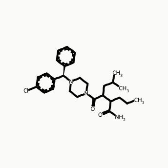 CCCC(C(N)=O)C(CC(C)C)C(=O)N1CCN([C@H](c2ccccc2)c2ccc(Cl)cc2)CC1